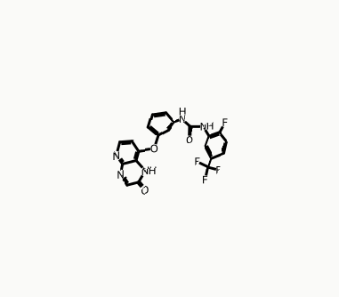 O=C(Nc1cccc(Oc2ccnc3ncc(=O)[nH]c23)c1)Nc1cc(C(F)(F)F)ccc1F